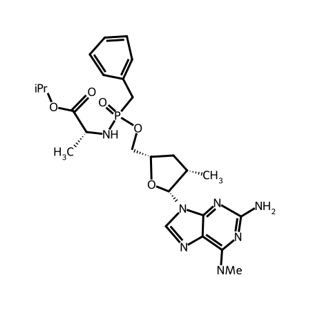 CNc1nc(N)nc2c1ncn2[C@@H]1O[C@H](COP(=O)(Cc2ccccc2)N[C@H](C)C(=O)OC(C)C)C[C@@H]1C